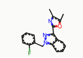 Cc1nc(-c2nn(Cc3ccccc3F)c3ccccc23)oc1C